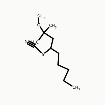 CCCCCC(CC(C)(C)O[SiH3])SC#N